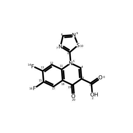 O=C(O)c1cn(-c2ncns2)c2cc(F)c(F)cc2c1=O